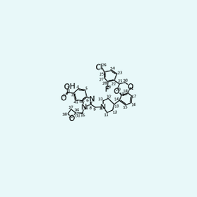 O=C(O)c1ccc2nc(CN3CCC(c4cccc5c4OC(c4ccc(Cl)cc4F)CO5)CC3)n(C[C@@H]3CCO3)c2c1